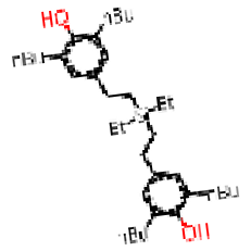 CCCCc1cc(CC[Si](CC)(CC)CCc2cc(CCCC)c(O)c(CCCC)c2)cc(CCCC)c1O